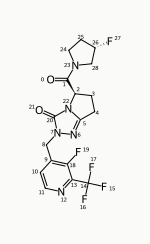 O=C([C@H]1CCc2nn(Cc3ccnc(C(F)(F)F)c3F)c(=O)n21)N1CC[C@H](F)C1